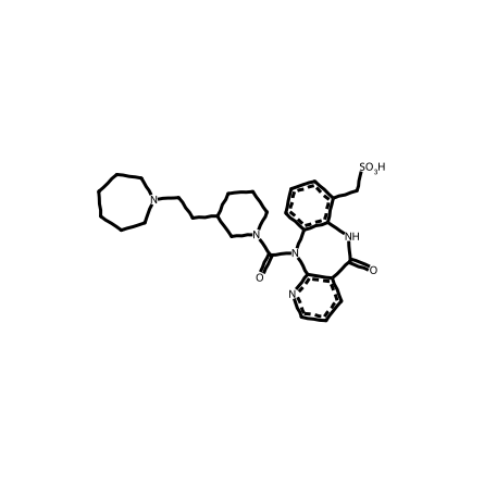 O=C1Nc2c(CS(=O)(=O)O)cccc2N(C(=O)N2CCCC(CCN3CCCCCC3)C2)c2ncccc21